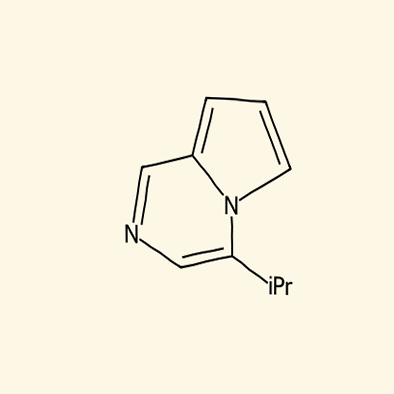 CC(C)c1cncc2cccn12